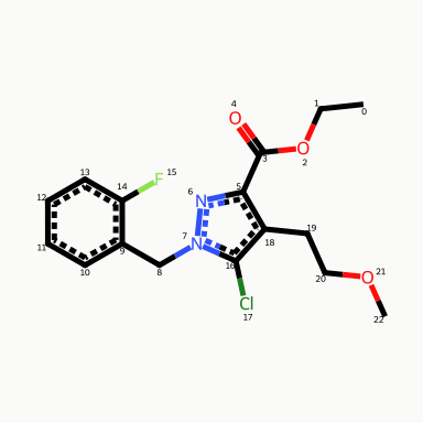 CCOC(=O)c1nn(Cc2ccccc2F)c(Cl)c1CCOC